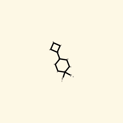 FC1(F)CCC(C2CCC2)CC1